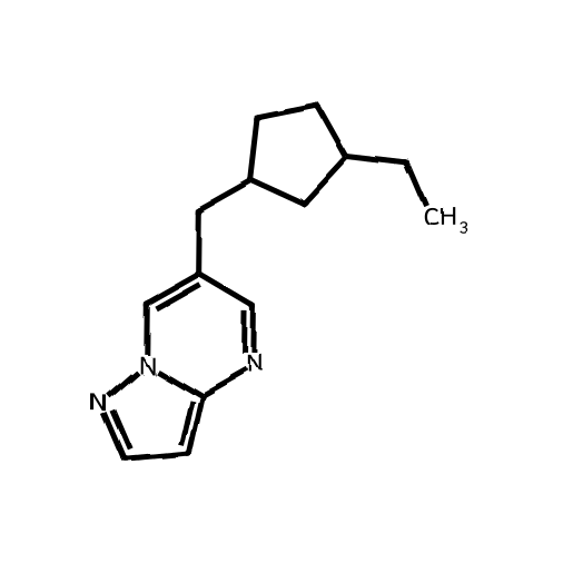 CCC1CCC(Cc2cnc3ccnn3c2)C1